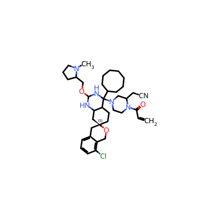 C=CC(=O)N1CCN(C2(C3CCCCCCC3)NC(OCC3CCCN3C)NC3C[C@]4(CCC32)Cc2cccc(Cl)c2CO4)CC1CC#N